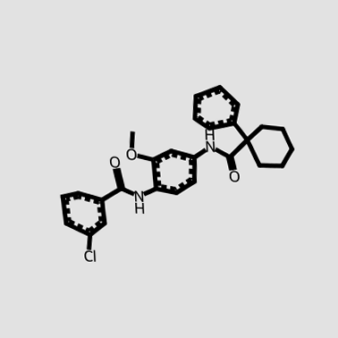 COc1cc(NC(=O)C2(c3ccccc3)CCCCC2)ccc1NC(=O)c1cccc(Cl)c1